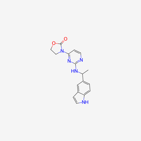 CC(Nc1nccc(N2CCOC2=O)n1)c1ccc2[nH]ccc2c1